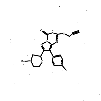 C#CCSc1nc2c(-c3ccc(F)cc3)c(C3CN(C(C)C)CCO3)nn2c(=O)[nH]1